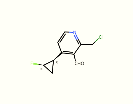 O=Cc1c([C@H]2C[C@H]2F)ccnc1CCl